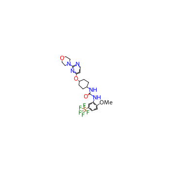 COc1ccc(S(F)(F)(F)(F)F)cc1NC(=O)NC1CCC(Oc2ccnc(N3CCOCC3)n2)CC1